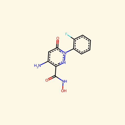 Nc1cc(=O)n(-c2ccccc2F)nc1C(=O)NO